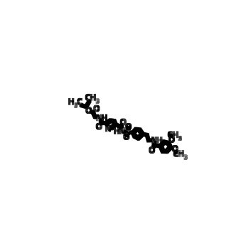 CCC(CC)OC(=O)CNC(=O)c1ccc(C(=O)NS(=O)(=O)c2ccc(CCNC(=O)c3ccc(OC)c(OC)c3)cc2)cn1